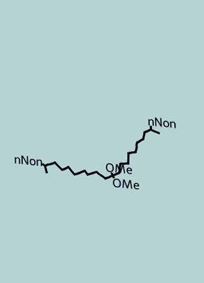 CCCCCCCCCC(C)CCCCCCCCC(CCCCCCCCC(C)CCCCCCCCC)(OC)OC